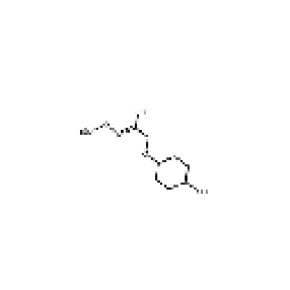 CC(COC1CCC(O)CC1)=NOC(C)(C)C